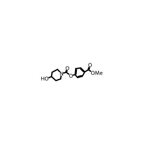 COC(=O)c1ccc(OC(=O)N2CCC(O)CC2)cc1